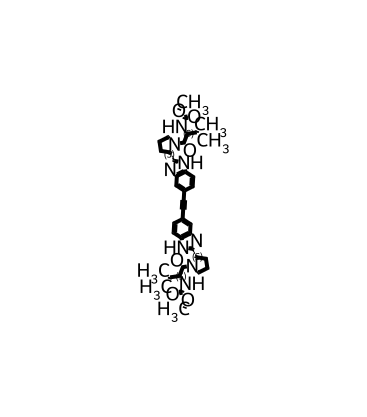 COC(=O)N[C@H](C(=O)N1CCC[C@H]1c1nc2cc(C#Cc3ccc4[nH]c([C@@H]5CCCN5C(=O)[C@@H](NC(=O)OC)C(C)C)nc4c3)ccc2[nH]1)C(C)C